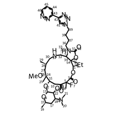 CC[C@H]1OC(=O)C(C)(F)C(=O)C[C@@H](O[C@@H]2O[C@H](C)CC(N(C)C)C2O)[C@](C)(OC)C[C@@H](C)CN[C@H](C)[C@H]2N(CCCCn3cc(-c4cccnn4)nn3)C(=O)O[C@]12C